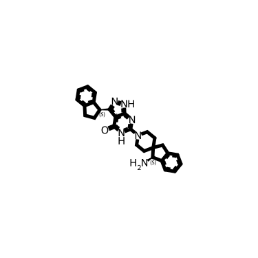 N[C@@H]1c2ccccc2CC12CCN(c1nc3[nH]nc([C@H]4CCc5ccccc54)c3c(=O)[nH]1)CC2